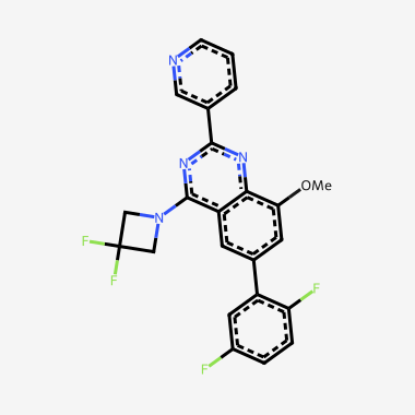 COc1cc(-c2cc(F)ccc2F)cc2c(N3CC(F)(F)C3)nc(-c3cccnc3)nc12